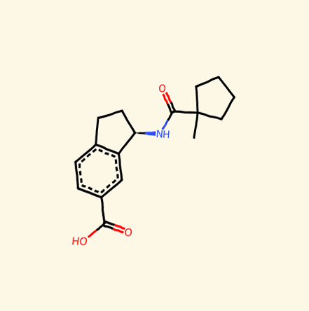 CC1(C(=O)N[C@@H]2CCc3ccc(C(=O)O)cc32)CCCC1